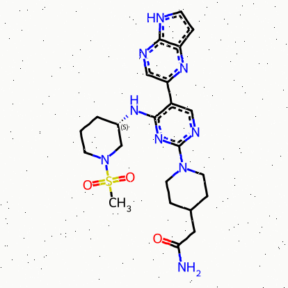 CS(=O)(=O)N1CCC[C@H](Nc2nc(N3CCC(CC(N)=O)CC3)ncc2-c2cnc3[nH]ccc3n2)C1